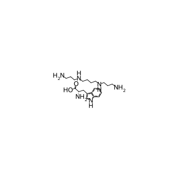 NCCCNCCCCNCCCN.N[C@@H](Cc1c[nH]c2ccccc12)C(=O)O